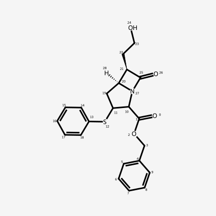 O=C(OCc1ccccc1)C1C(Sc2ccccc2)C[C@H]2[C@@H](CCO)C(=O)N12